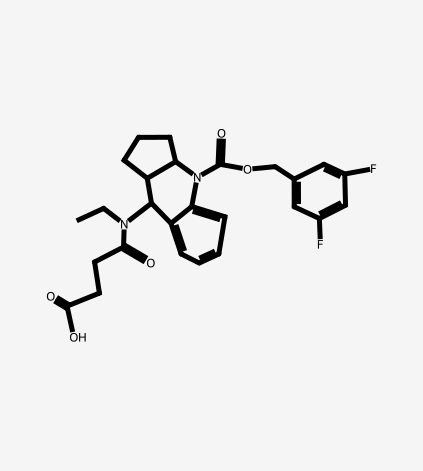 CCN(C(=O)CCC(=O)O)C1c2ccccc2N(C(=O)OCc2cc(F)cc(F)c2)C2CCCC12